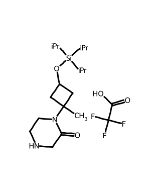 CC(C)[Si](OC1CC(C)(N2CCNCC2=O)C1)(C(C)C)C(C)C.O=C(O)C(F)(F)F